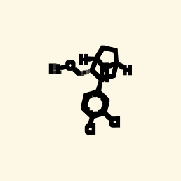 CCOC[C@@H]1[C@@H]2CC[C@H](C[C@H]1c1ccc(Cl)c(Cl)c1)N2